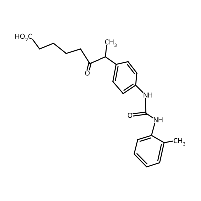 Cc1ccccc1NC(=O)Nc1ccc(C(C)C(=O)CCCCC(=O)O)cc1